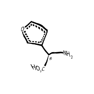 N[C@@H](C(=O)O)c1ccoc1